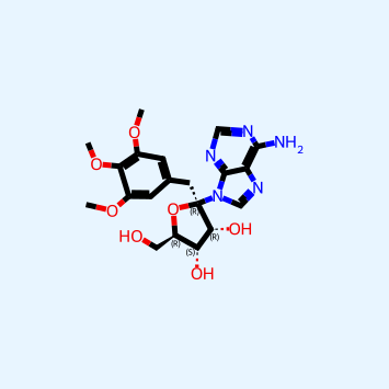 COc1cc(C[C@@]2(n3cnc4c(N)ncnc43)O[C@H](CO)[C@@H](O)[C@H]2O)cc(OC)c1OC